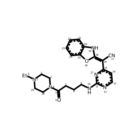 CCN1CCN(C(=O)CCCNc2nccc(/C(C#N)=C3/Nc4ccccc4O3)n2)CC1